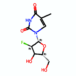 Cc1cn([C@@H]2O[C@H](CO)C(O)[C@H]2F)c(=O)[nH]c1=O